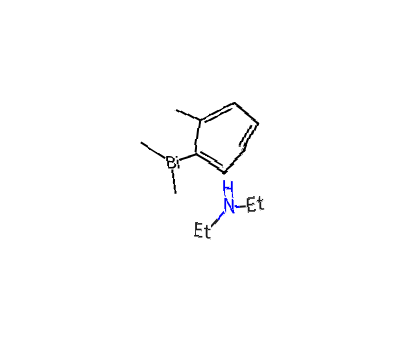 CCNCC.Cc1cccc[c]1[Bi]([CH3])[CH3]